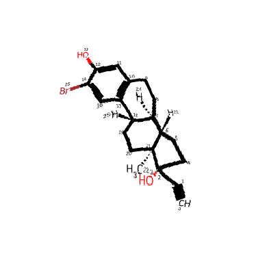 C#C[C@]1(O)CC[C@H]2[C@@H]3CCc4cc(O)c(Br)cc4[C@H]3CC[C@@]21C